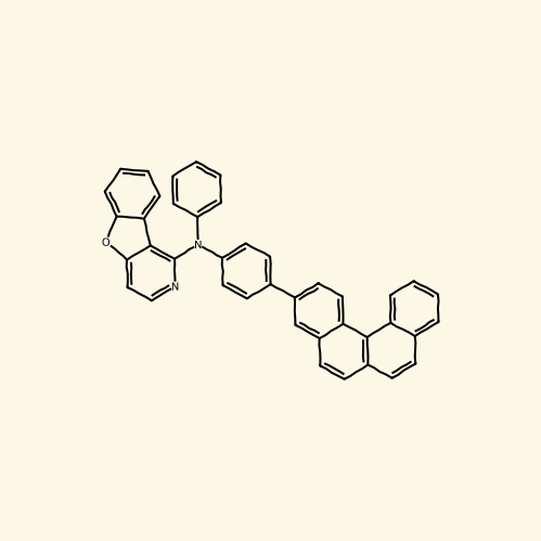 c1ccc(N(c2ccc(-c3ccc4c(ccc5ccc6ccccc6c54)c3)cc2)c2nccc3oc4ccccc4c23)cc1